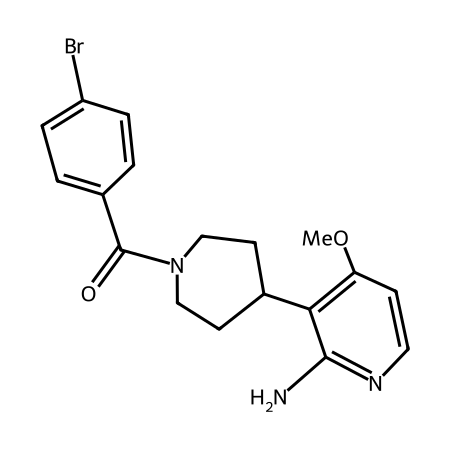 COc1ccnc(N)c1C1CCN(C(=O)c2ccc(Br)cc2)CC1